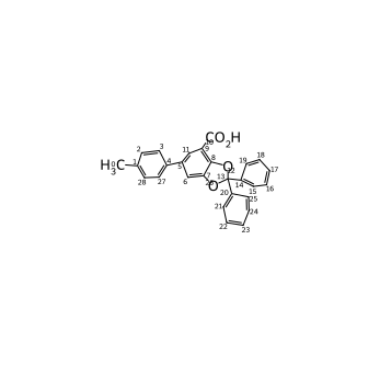 Cc1ccc(-c2cc3c(c(C(=O)O)c2)OC(c2ccccc2)(c2ccccc2)O3)cc1